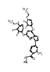 CCOc1ccc(Oc2cc(Oc3ccc(OCC)c(F)c3F)c3ncc(-c4ccc(C(=O)NC5CC5)c(C)c4)n3n2)c(F)c1F